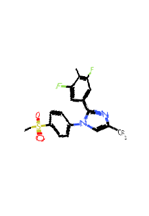 Cc1c(F)cc(-c2nc(C(F)(F)F)cn2-c2ccc(S(C)(=O)=O)cc2)cc1F